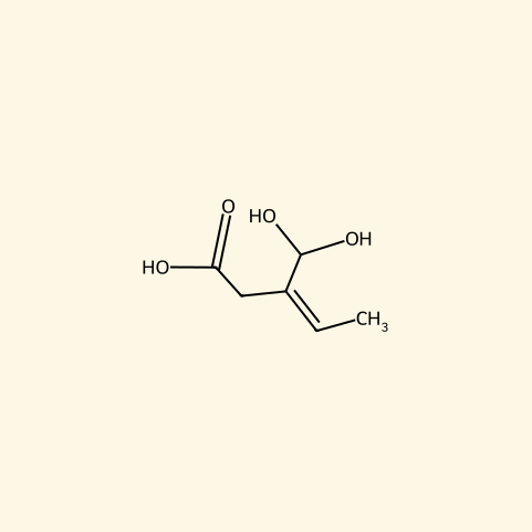 CC=C(CC(=O)O)C(O)O